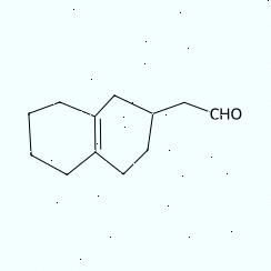 O=CCC1CCC2=C(CCCC2)C1